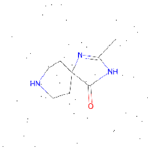 CC1=NC2(CCNCC2)C(=O)N1